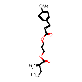 C=C(CC(=O)O)C(=O)OCCCOC(=O)/C=C/c1ccc(OC)cc1